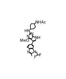 COc1nc(NC2CCC(NC(C)=O)CC2)nc2[nH]cc(-c3ccc4nc(C)n(CC(F)F)c4c3)c12